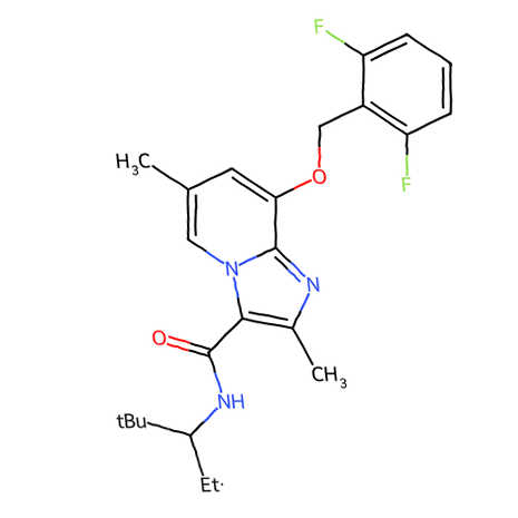 C[CH]C(NC(=O)c1c(C)nc2c(OCc3c(F)cccc3F)cc(C)cn12)C(C)(C)C